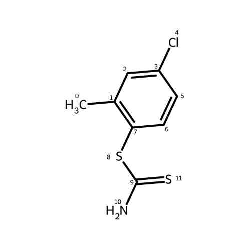 Cc1cc(Cl)ccc1SC(N)=S